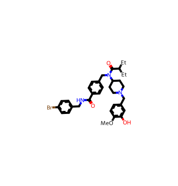 CCC(CC)C(=O)N(Cc1ccc(C(=O)NCc2ccc(Br)cc2)cc1)C1CCN(Cc2ccc(OC)c(O)c2)CC1